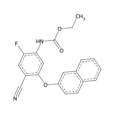 CCOC(=O)Nc1cc(Oc2ccc3ccccc3c2)c(C#N)cc1F